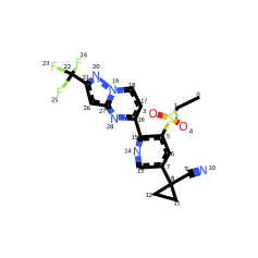 CCS(=O)(=O)c1cc(C2(C#N)CC2)cnc1-c1ccn2nc(C(F)(F)F)cc2n1